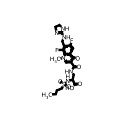 CCCCS(=O)(=O)NC(CNC(=O)c1cn(C)c2c(F)c(CNC3=NCCN3)c(F)cc2c1=O)C(=O)O